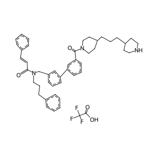 O=C(/C=C/c1ccccc1)N(CCCc1ccccc1)Cc1cccc(-c2cccc(C(=O)N3CCC(CCCC4CCNCC4)CC3)c2)c1.O=C(O)C(F)(F)F